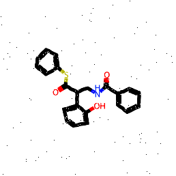 O=C(NCC(C(=O)Sc1ccccc1)c1ccccc1O)c1ccccc1